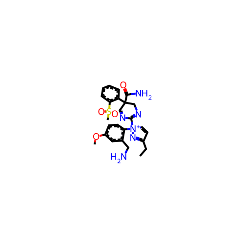 CCC1=N[N+](C2=NCC(C(N)=O)(c3ccccc3S(C)(=O)=O)C=N2)(c2ccc(OC)cc2CN)C=C1